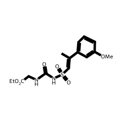 CCOC(=O)CNC(=O)NS(=O)(=O)C=C(C)c1cccc(OC)c1